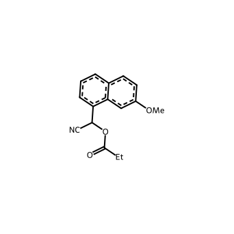 CCC(=O)OC(C#N)c1cccc2ccc(OC)cc12